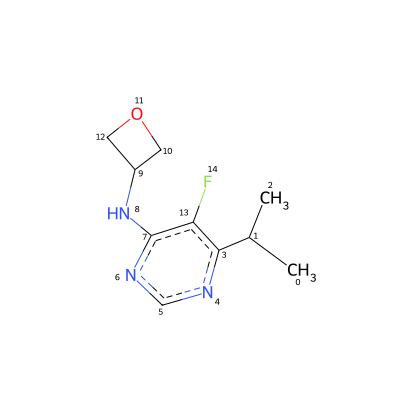 CC(C)c1ncnc(NC2COC2)c1F